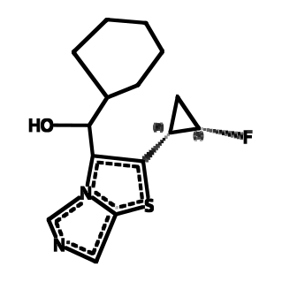 OC(c1c([C@@H]2C[C@@H]2F)sc2cncn12)C1CCCCC1